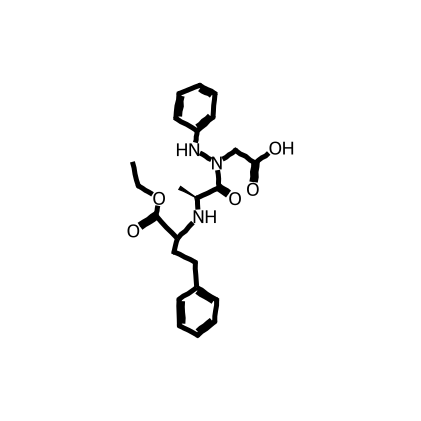 CCOC(=O)C(CCc1ccccc1)N[C@@H](C)C(=O)N(CC(=O)O)Nc1ccccc1